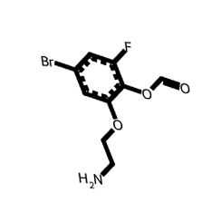 NCCOc1cc(Br)cc(F)c1OC=O